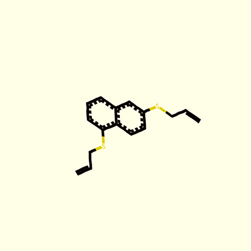 C=CCSc1ccc2c(SCC=C)cccc2c1